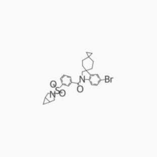 O=C(c1cccc(S(=O)(=O)N2CC3CC3C2)c1)N1CC2(CCC3(CC3)CC2)c2cc(Br)ccc21